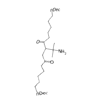 CCCCCCCCCCCCCCCC(=O)CC(C(=O)CCCCCCCCCCCCCCC)C(C)(C)N